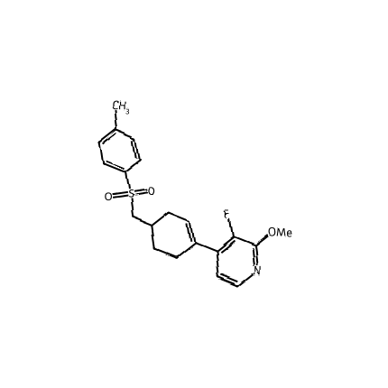 COc1nccc(C2=CCC(CS(=O)(=O)c3ccc(C)cc3)CC2)c1F